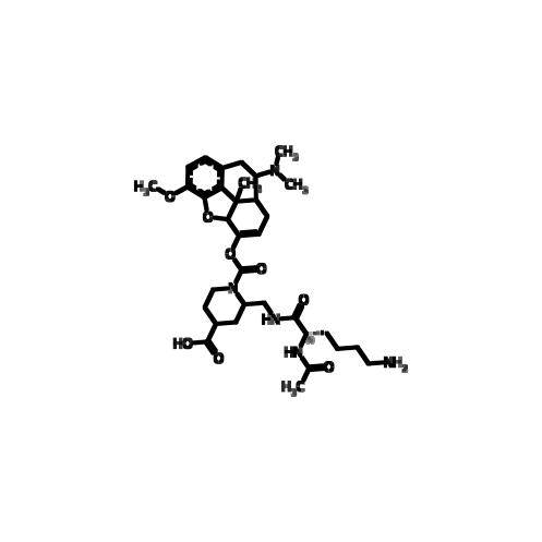 COc1ccc2c3c1OC1C(OC(=O)N4CCC(C(=O)O)CC4CNC(=O)[C@H](CCCCN)NC(C)=O)=CCC(C(N(C)C)C2)C31C